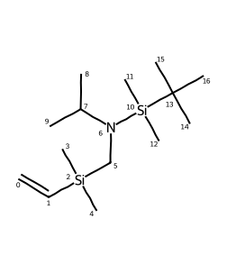 C=C[Si](C)(C)CN(C(C)C)[Si](C)(C)C(C)(C)C